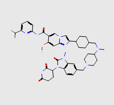 CC(C)Oc1cc2nc(C3CCC(CN(C)C4CCN(Cc5ccc6c(c5)n(C)c(=O)n6C5CCC(=O)NC5=O)CC4)CC3)cn2cc1C(=O)Nc1cccc(C(F)F)n1